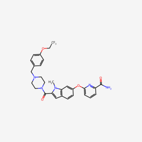 Cn1c(C(=O)N2CCN(Cc3ccc(OCC(F)(F)F)cc3)CC2)cc2ccc(Oc3cc[c]c(C(N)=O)n3)cc21